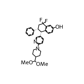 COC(OC)C1CCN(c2ccc([C@H]3c4ccc(O)cc4C(F)(F)C[C@H]3c3ccccc3)cn2)CC1